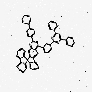 c1ccc(-c2ccc(-c3cc(-c4cccc(-c5nc(-c6ccccc6)cc(-c6ccccc6)n5)c4)c4cc5c(cc4n3)C3(c4ccccc4-c4ccccc43)c3ccccc3-5)cc2)cc1